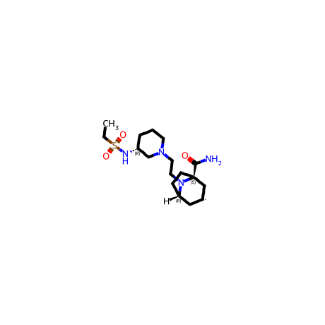 CCS(=O)(=O)N[C@@H]1CCCN(CCN2[C@@H]3C[CH]C[C@@]2(C(N)=O)CC3)C1